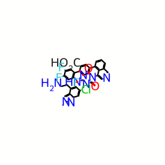 Cn1cc2c(CCN)c(Nc3nc(=O)n(-c4cncc5cccc(-c6cccc(C(=O)O)c6)c45)c(=O)n3Cc3cc(F)c(F)cc3F)c(Cl)cc2n1